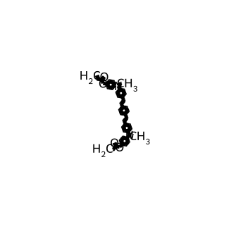 C=CC(=O)Oc1ccc(N(C)c2ccc(C=Cc3ccc(C=Cc4ccc(N(C)c5ccc(OC(=O)C=C)cc5)cc4)cc3)cc2)cc1